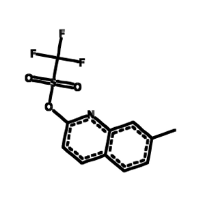 Cc1ccc2ccc(OS(=O)(=O)C(F)(F)F)nc2c1